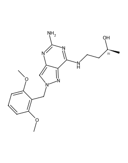 COc1cccc(OC)c1Cn1cc2nc(N)nc(NCC[C@H](C)O)c2n1